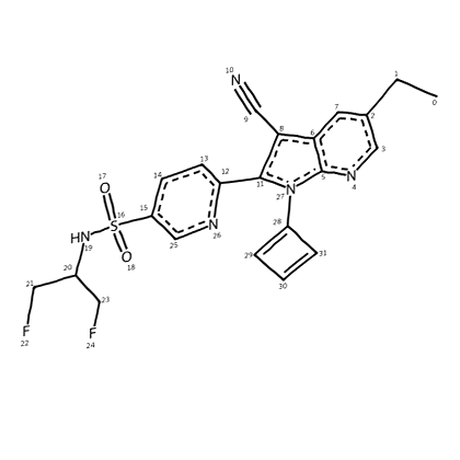 CCc1cnc2c(c1)c(C#N)c(-c1ccc(S(=O)(=O)NC(CF)CF)cn1)n2C1=CC=C1